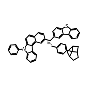 c1ccc(-n2c3ccccc3c3c4cc([C@@H](Cc5ccc(C67C8CCC6CC7C8)cc5)c5ccc6sc7ccccc7c6c5)ccc4ccc32)cc1